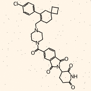 O=C1CCC(N2C(=O)c3ccc(C(=O)N4CCN(CC5=C(c6ccc(Cl)cc6)CC6(CCC6)CC5)CC4)cc3C2=O)C(=O)N1